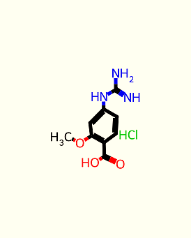 COc1cc(NC(=N)N)ccc1C(=O)O.Cl